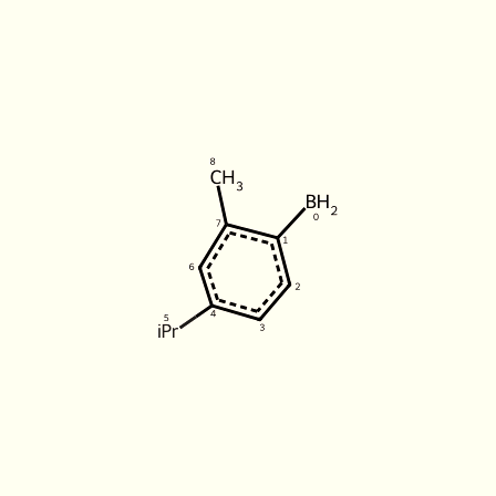 Bc1ccc(C(C)C)cc1C